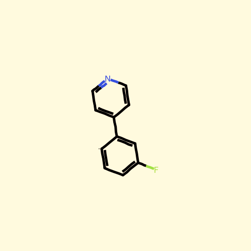 Fc1cc[c]c(-c2ccncc2)c1